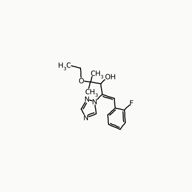 CCOC(C)(C)C(O)/C(=C/c1ccccc1F)n1cncn1